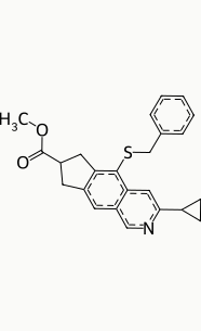 COC(=O)C1Cc2cc3cnc(C4CC4)cc3c(SCc3ccccc3)c2C1